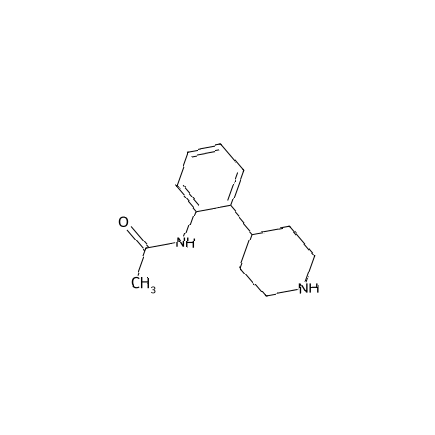 CC(=O)Nc1ccccc1C1CCNCC1